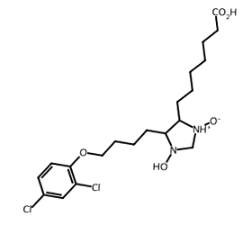 O=C(O)CCCCCCC1C(CCCCOc2ccc(Cl)cc2Cl)N(O)C[NH+]1[O-]